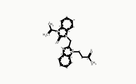 C=C(C)n1c(=O)n(Cc2nc3ccccc3n2CCC(C)=O)c2ccccc21